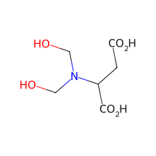 O=C(O)CC(C(=O)O)N(CO)CO